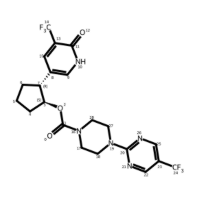 O=C(O[C@H]1CCC[C@@H]1c1c[nH]c(=O)c(C(F)(F)F)c1)N1CCN(c2ncc(C(F)(F)F)cn2)CC1